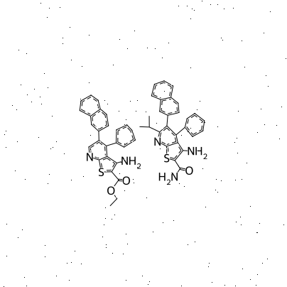 CC(C)c1nc2sc(C(N)=O)c(N)c2c(-c2ccccc2)c1-c1ccc2ccccc2c1.CCOC(=O)c1sc2ncc(-c3ccc4ccccc4c3)c(-c3ccccc3)c2c1N